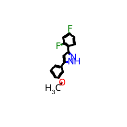 COc1cccc(-c2cc(-c3ccc(F)cc3F)n[nH]2)c1